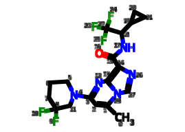 Cc1cc(N2CCCC(F)(F)C2)nc2c(C(=O)NC(C3CC3)C(F)(F)F)ncn12